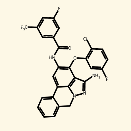 Nc1nn2c3c(cc(NC(=O)c4cc(F)cc(C(F)(F)F)c4)c(Oc4cc(F)ccc4Cl)c13)-c1ccccc1C2